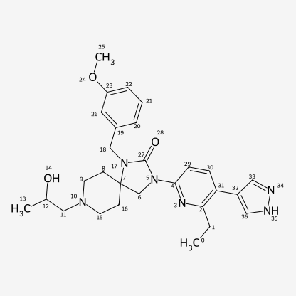 CCc1nc(N2CC3(CCN(CC(C)O)CC3)N(Cc3cccc(OC)c3)C2=O)ccc1-c1cn[nH]c1